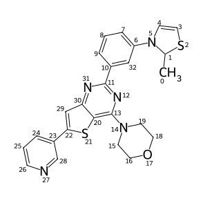 CC1SC=CN1c1cccc(-c2nc(N3CCOCC3)c3sc(-c4cccnc4)cc3n2)c1